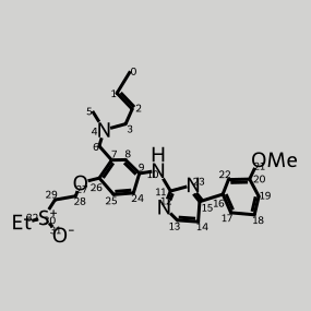 C/C=C/CN(C)Cc1cc(Nc2nccc(-c3cccc(OC)c3)n2)ccc1OCC[S+]([O-])CC